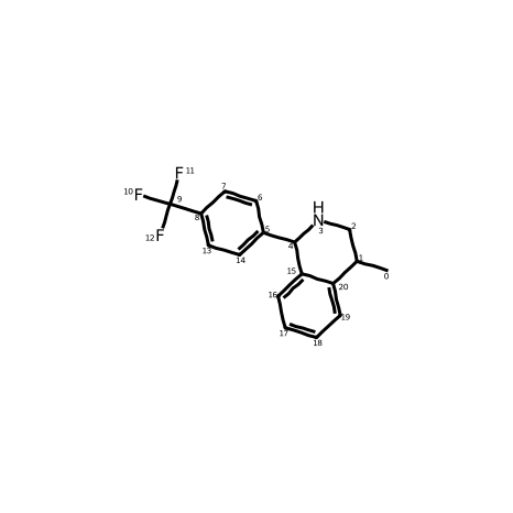 CC1CNC(c2ccc(C(F)(F)F)cc2)c2ccccc21